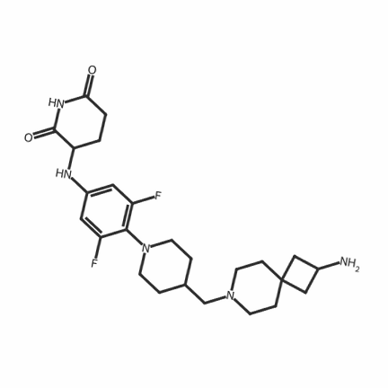 NC1CC2(CCN(CC3CCN(c4c(F)cc(NC5CCC(=O)NC5=O)cc4F)CC3)CC2)C1